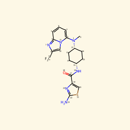 CN(c1cccc2nc(C(F)(F)F)cn12)[C@H]1CC[C@@H](NC(=O)c2csc(N)n2)CC1